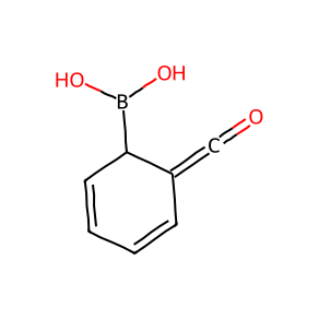 O=C=C1C=CC=CC1B(O)O